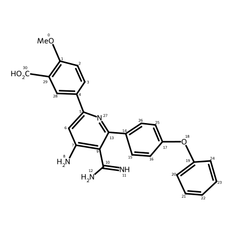 COc1ccc(-c2cc(N)c(C(=N)N)c(-c3ccc(Oc4ccccc4)cc3)n2)cc1C(=O)O